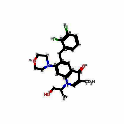 CC(C)[C@@H](CO)n1cc(C(=O)O)c(=O)c2cc(Cc3cccc(Cl)c3F)c(N3CCOCC3)cc21